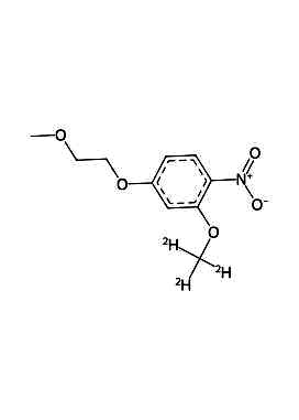 [2H]C([2H])([2H])Oc1cc(OCCOC)ccc1[N+](=O)[O-]